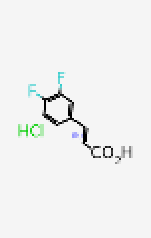 Cl.O=C(O)/C=C/c1ccc(F)c(F)c1